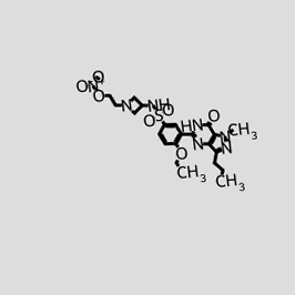 CCCc1nn(C)c2c(=O)[nH]c(-c3cc(S(=O)(=O)NC4CN(CCO[N+](=O)[O-])C4)ccc3OCC)nc12